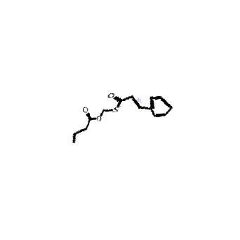 CCCC(=O)OCSC(=O)/C=C/c1ccccc1